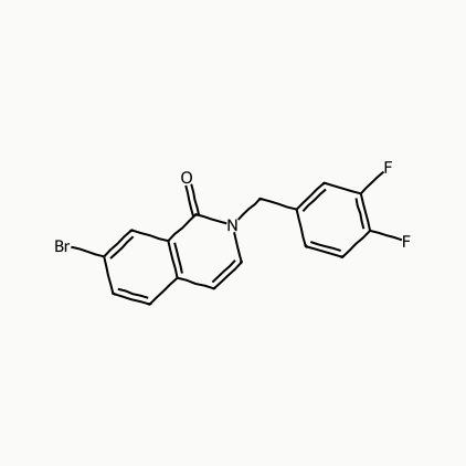 O=c1c2cc(Br)ccc2ccn1Cc1ccc(F)c(F)c1